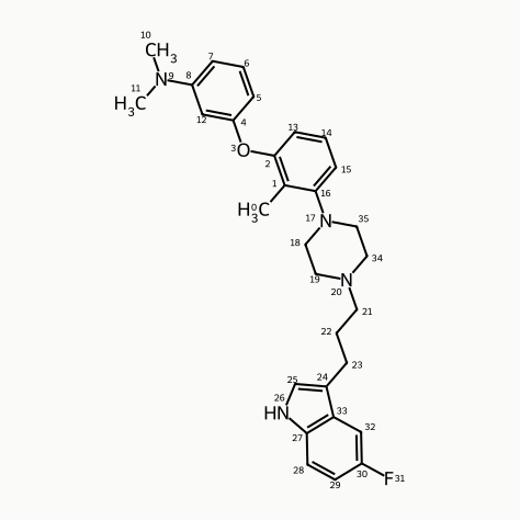 Cc1c(Oc2cccc(N(C)C)c2)cccc1N1CCN(CCCc2c[nH]c3ccc(F)cc23)CC1